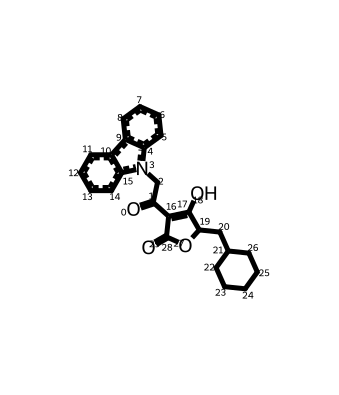 O=C(Cn1c2ccccc2c2ccccc21)C1=C(O)C(CC2CCCCC2)OC1=O